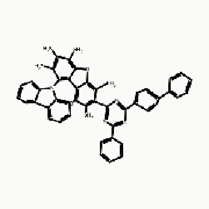 Bc1c(B)c(-n2c3ccccc3c3ccccc32)c2c(oc3c(B)c(-c4nc(-c5ccccc5)nc(-c5ccc(-c6ccccc6)cc5)n4)c(B)c(B)c32)c1B